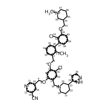 Cc1c(COc2cc(OCc3cncc(C#N)c3)c(CN3CCCC(c4ccn[nH]4)C3)cc2Cl)cccc1-c1cccc(OCC2CCCN(C)C2)c1Cl